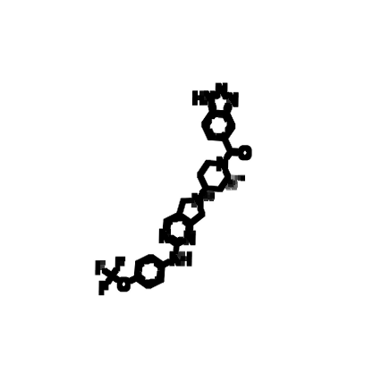 C[C@@H]1C[C@@H](N2Cc3cnc(Nc4ccc(OC(F)(F)F)cc4)nc3C2)CCN1C(=O)c1ccc2[nH]nnc2c1